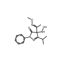 CON=C(C)C1(NO)C(=O)N(c2ccccc2)N=C1C(C)C